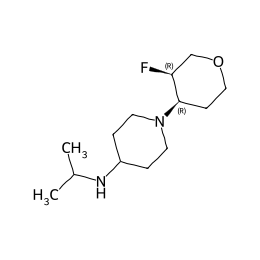 CC(C)NC1CCN([C@@H]2CCOC[C@@H]2F)CC1